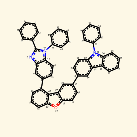 c1ccc(-c2nc3cc(-c4cccc5oc6ccc(-c7ccc8c(c7)c7ccccc7n8-c7ccccc7)cc6c45)ccc3n2-c2ccccc2)cc1